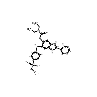 CCN(CC)C(=O)Cc1cc2[nH]c(-c3ccccn3)nc2cc1Oc1ccc(S(=O)(=O)CC)cc1